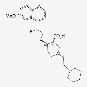 COc1ccc2nccc(C(F)CC[C@@H]3CCN(CCC4CCCCC4)C[C@@H]3C(=O)O)c2c1